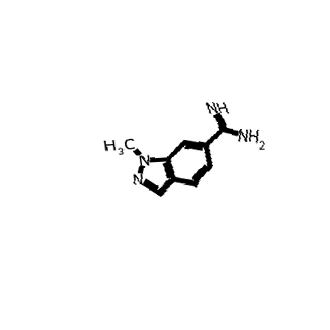 Cn1ncc2ccc(C(=N)N)cc21